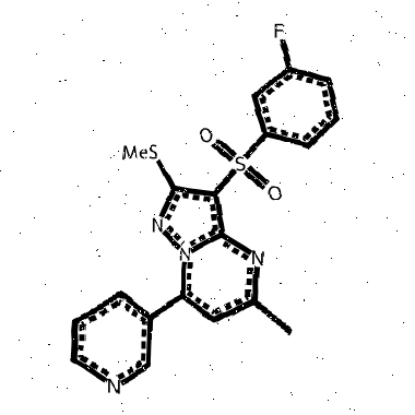 CSc1nn2c(-c3cccnc3)cc(C)nc2c1S(=O)(=O)c1cccc(F)c1